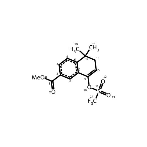 COC(=O)c1ccc2c(c1)C(OS(=O)(=O)C(F)(F)F)=CCC2(C)C